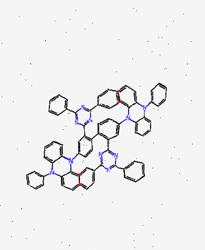 c1ccc(-c2nc(-c3ccccc3)nc(-c3cc(N4c5ccccc5N(c5ccccc5)c5ccccc54)ccc3-c3ccc(N4c5ccccc5N(c5ccccc5)c5ccccc54)cc3-c3nc(-c4ccccc4)nc(-c4ccccc4)n3)n2)cc1